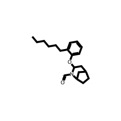 CCCCCCc1ccccc1OC1CC2CCC(C2)N1[C]=O